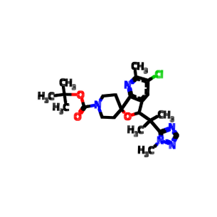 Cc1nc2c(cc1Cl)C(C(C)(C)c1ncnn1C)OC21CCN(C(=O)OC(C)(C)C)CC1